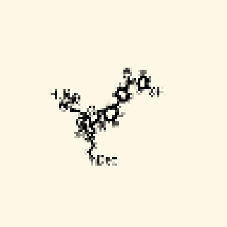 CCCCCCCCCCCCCCC(C(=O)NCCS(N)(=O)=O)(c1nc2ccc(-c3ccc(C(=O)N4CC[C@@H](O)C4)cc3)cc2s1)S(C)(=O)=O